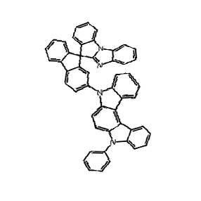 c1ccc(-n2c3ccccc3c3c4c5ccccc5n(-c5ccc6c(c5)C5(c7ccccc7-6)c6ccccc6-n6c5nc5ccccc56)c4ccc32)cc1